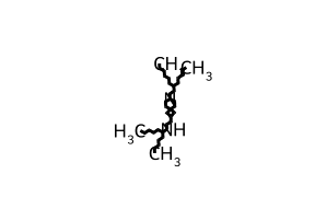 CCCCCCC(CCCCC)CCN1CCC2(CC1)CC(CCNC(CCCCC)CCCCC)C2